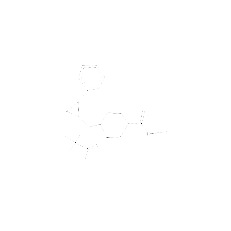 O=C(NO)C1CCC(NC2CC2c2ccccc2)CC1.O=C(O)C(F)(F)F